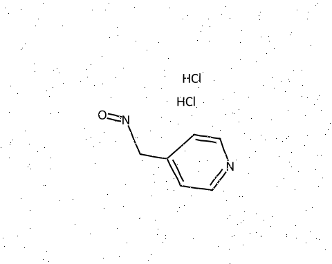 Cl.Cl.O=NCc1ccncc1